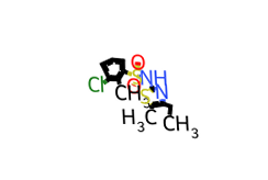 CCc1nc(NS(=O)(=O)c2cccc(Cl)c2C)sc1C